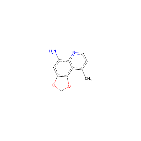 Cc1ccnc2c(N)cc3c(c12)OCO3